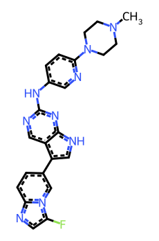 CN1CCN(c2ccc(Nc3ncc4c(-c5ccc6ncc(F)n6c5)c[nH]c4n3)cn2)CC1